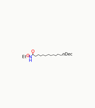 CCCCCCCCCCCCCCCCCCCCCC(=O)NOCC